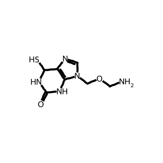 NCOCn1cnc2c1NC(=O)NC2S